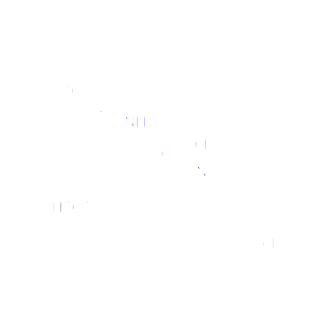 Cn1c(COCNC2(c3ccc(C(=O)O)cc3)CCCOC2)cc2c(Cl)c(Cl)ccc21